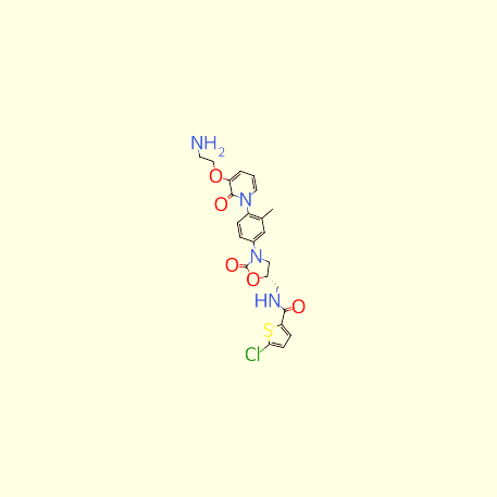 Cc1cc(N2C[C@H](CNC(=O)c3ccc(Cl)s3)OC2=O)ccc1-n1cccc(OCCN)c1=O